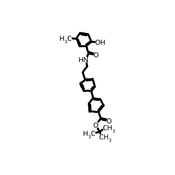 Cc1ccc(O)c(C(=O)NCCc2ccc(-c3ccc(C(=O)OC(C)(C)C)cc3)cc2)c1